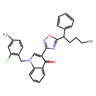 N#CCCCC(c1ccccc1)c1nc(-c2cn(Cc3ccc(C(F)(F)F)cc3F)c3ccccc3c2=O)no1